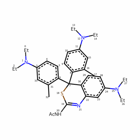 CCN(CC)c1ccc(C2(c3ccc(N(CC)CC)cc3C)SC(NC(C)=O)=Nc3cc(N(CC)CC)ccc32)c(C)c1